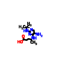 CC(C)Nc1ncc(N)c(NC(C)CCC(=O)O)n1